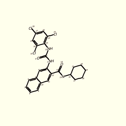 O=C(Nc1cc2ccccc2cc1C(=O)[N]C1CCCCC1)Nc1c(Cl)cc(Cl)cc1Cl